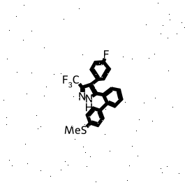 CSc1ccc(-c2ccccc2-c2[nH]nc(C(F)(F)F)c2-c2ccc(F)cc2)cc1